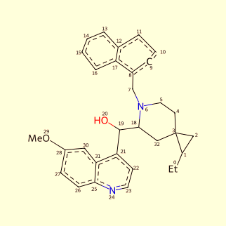 CCC1CC12CCN(Cc1cccc3ccccc13)C(C(O)c1ccnc3ccc(OC)cc13)C2